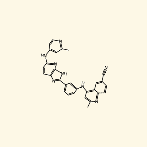 Cc1cc(Nc2ccc3nc(-c4cccc(Nc5cc(C)nc6ccc(C#N)cc56)c4)[nH]c3n2)ccn1